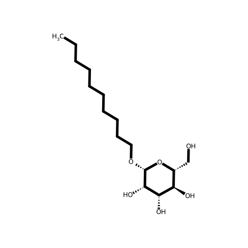 CCCCCCCCCCO[C@@H]1O[C@H](CO)[C@@H](O)[C@H](O)[C@@H]1O